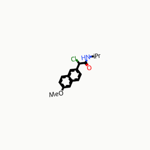 COc1ccc2cc(C(Cl)C(=O)NC(C)C)ccc2c1